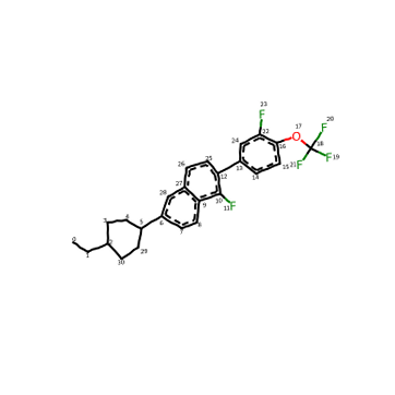 CCC1CCC(c2ccc3c(F)c(-c4ccc(OC(F)(F)F)c(F)c4)ccc3c2)CC1